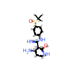 CC(C)(C)[S+]([O-])c1ccc(NC(=N)c2c(N)cc[nH]c2=O)cc1